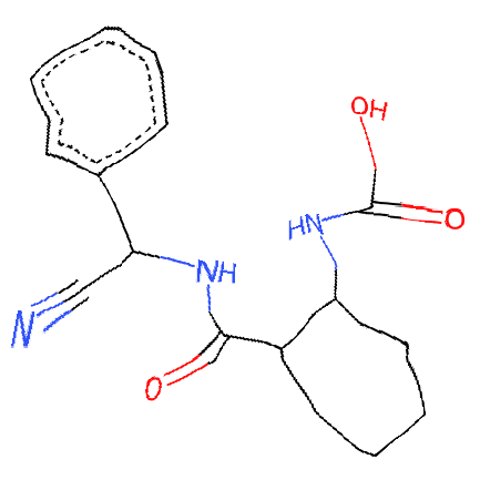 N#CC(NC(=O)C1CCCCC1NC(=O)O)c1ccccc1